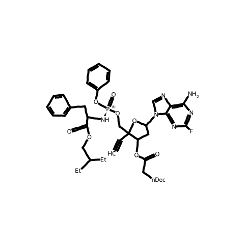 C#CC1(CO[P@@](=O)(NC(Cc2ccccc2)C(=O)OCC(CC)CC)Oc2ccccc2)OC(n2cnc3c(N)nc(F)nc32)CC1OC(=O)CCCCCCCCCCC